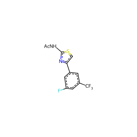 CC(=O)Nc1nc(-c2cc(F)cc(C(F)(F)F)c2)cs1